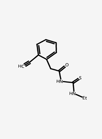 C#Cc1ccccc1CC(=O)NC(=S)NCC